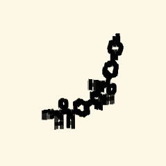 CCNC(=O)Nc1ccc(-c2cc(NC(=O)c3ccc(N4CCN(C)CC4)cc3)[nH]n2)cc1